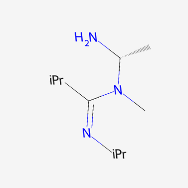 CC(C)/N=C(/C(C)C)N(C)[C@@H](C)N